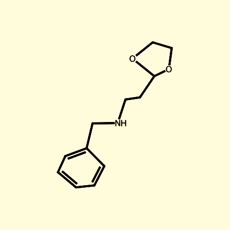 c1ccc(CNCCC2OCCO2)cc1